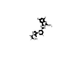 Cc1c(N2C[C@@H](C)C[C@@H](c3nc4c5cc(F)cc(F)c5nc(N)n4n3)C2)cnn1[C@H](C)[C@@H](C)O